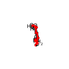 Nc1ncnc2c1c(-c1ccc(Oc3ccccc3)cc1)nn2C1CCCN(C(=O)CCCN2CCN(CCCCNc3cccc4c3C(=O)N(C3CCC(=O)NC3=O)C4=O)CC2)C1